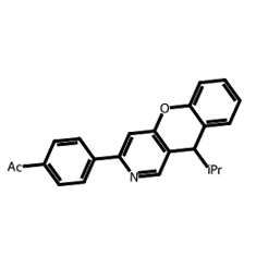 CC(=O)c1ccc(-c2cc3c(cn2)C(C(C)C)c2ccccc2O3)cc1